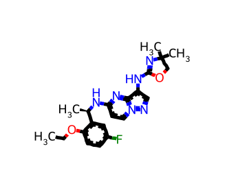 CCOc1ccc(F)cc1[C@@H](C)Nc1ccn2ncc(NC3=NC(C)(C)CO3)c2n1